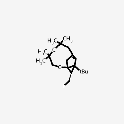 CC1(C)CCC23CC(=CC2(C(C)(C)C)[C@H]3CI)CC(C)(C)C1